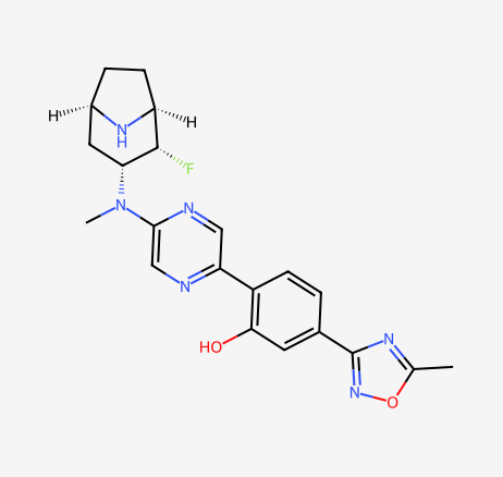 Cc1nc(-c2ccc(-c3cnc(N(C)[C@@H]4C[C@H]5CC[C@H](N5)[C@@H]4F)cn3)c(O)c2)no1